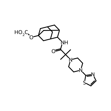 CC(C)(C(=O)NC1C2CC3CC1CC(OC(=O)O)(C3)C2)N1CCN(c2nccs2)CC1